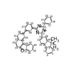 CC1(C)c2ccccc2-c2ccc(-c3nc(-c4ccccc4)nc(-c4cccc(-c5ccc6ccc7oc8ccccc8c7c6c5)c4)n3)cc21